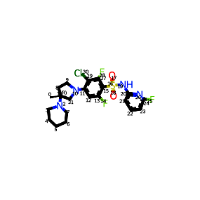 C[C@@]1(N2CCCCC2)CCN(c2cc(F)c(S(=O)(=O)Nc3cccc(F)n3)c(F)c2Cl)C1